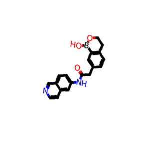 O=C(Cc1ccc2c(c1)B(O)OCC2)Nc1ccc2cnccc2c1